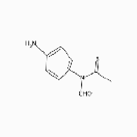 CC(=S)N([C]=O)c1ccc(N)cc1